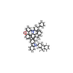 CC1(C)c2ccccc2-c2ccc(-n3c4c(c5cc(-c6ccc7oc8cccc(N(c9ccc(-c%10ccccc%10)cc9)c9cccc%10c9-c9ccccc9C%10(C)C)c8c7c6)ccc53)C=CCC4)cc21